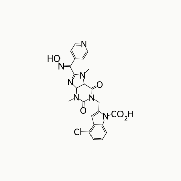 CN1C(=O)N(Cc2cc3c(Cl)cccc3n2C(=O)O)C(=O)C2C1N=C(C(=NO)c1ccncc1)N2C